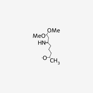 COC(CC(=N)CCCC(C)[O])OC